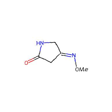 CO/N=C1/CNC(=O)C1